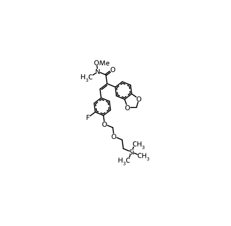 CON(C)C(=O)C(=Cc1ccc(OCOCC[Si](C)(C)C)c(F)c1)c1ccc2c(c1)OCO2